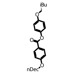 CCCCCCCCCCOc1ccc(C(=O)Oc2ccc(OC[C@@H](C)CC)cc2)cc1